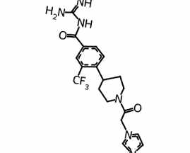 N=C(N)NC(=O)c1ccc(C2CCN(C(=O)Cn3ccnc3)CC2)c(C(F)(F)F)c1